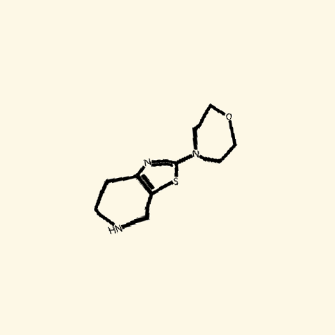 C1Cc2nc(N3CCOCC3)sc2CN1